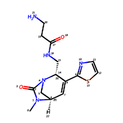 CN1C(=O)N2C[C@H]1C=C(c1nccs1)[C@H]2CNC(=O)CCN